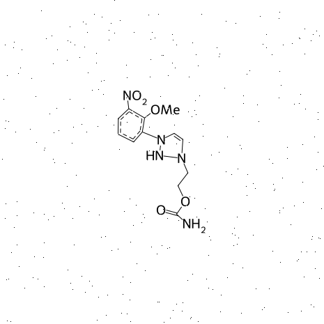 COc1c(N2C=CN(CCOC(N)=O)N2)cccc1[N+](=O)[O-]